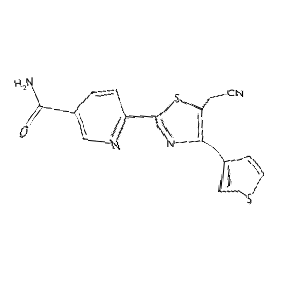 N#Cc1sc(-c2ccc(C(N)=O)cn2)nc1-c1ccsc1